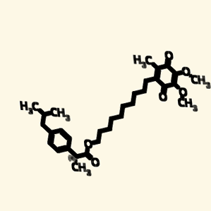 COC1=C(OC)C(=O)C(CCCCCCCCCCOC(=O)[C@H](C)c2ccc(CC(C)C)cc2)=C(C)C1=O